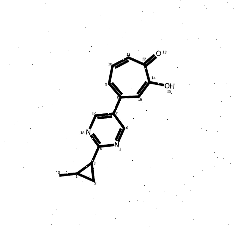 CC1CC1c1ncc(-c2cccc(=O)c(O)c2)cn1